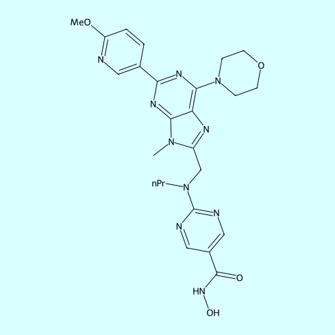 CCCN(Cc1nc2c(N3CCOCC3)nc(-c3ccc(OC)nc3)nc2n1C)c1ncc(C(=O)NO)cn1